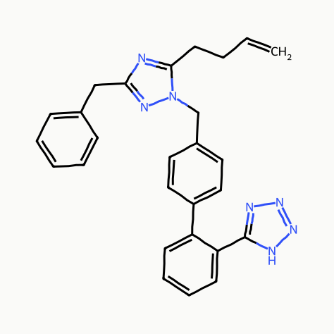 C=CCCc1nc(Cc2ccccc2)nn1Cc1ccc(-c2ccccc2-c2nnn[nH]2)cc1